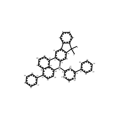 CC1(C)c2ccccc2-c2cc3c(cc21)N(c1ncnc(-c2ccccc2)n1)c1ccc(-c2ccccc2)c2cccc-3c12